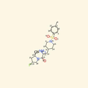 Cc1ccc(S(=O)(=O)N2CCC(C[C@H](N)C(=O)N3C[C@@H](F)C[C@H]3C#N)CC2)cc1